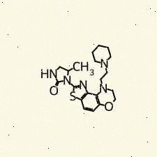 CC1CNC(=O)N1c1nc2c3c(ccc2s1)OCCN3CCN1CCCCC1